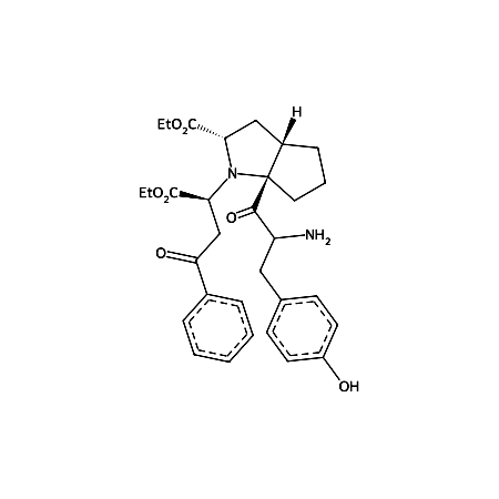 CCOC(=O)[C@H](CC(=O)c1ccccc1)N1[C@H](C(=O)OCC)C[C@@H]2CCC[C@@]21C(=O)C(N)Cc1ccc(O)cc1